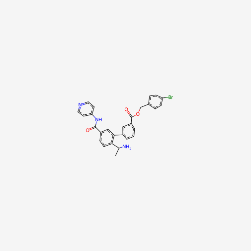 CC(N)c1ccc(C(=O)Nc2ccncc2)cc1-c1cccc(C(=O)OCc2ccc(Br)cc2)c1